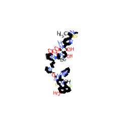 C#Cc1c(F)ccc2cc(O)cc(-c3ncc4c(N5CC6CCC(C5)N6)nc(OC[C@@H]5CCCN5CCC[C@H]5CCC(=O)N5[C@H](C(=O)N5C[C@H](O)C[C@H]5C(=O)N[C@@H](CO)c5ccc(-c6scnc6C)nc5)C(C)(C)C)nc4c3F)c12